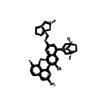 N#Cc1cc2c(N3C[C@H]4CC[C@@H](C3)N4C(=O)O)nc(OC[C@@]34CCCN3C[C@H](F)C4)nc2c(F)c1-c1nc(N)cc2ccc(F)c(F)c12